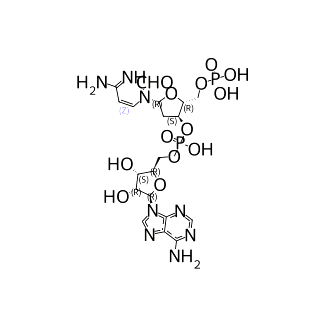 N=C(N)/C=C\N(C=O)[C@H]1C[C@H](OP(=O)(O)OC[C@H]2O[C@@H](n3cnc4c(N)ncnc43)[C@H](O)[C@@H]2O)[C@@H](COP(=O)(O)O)O1